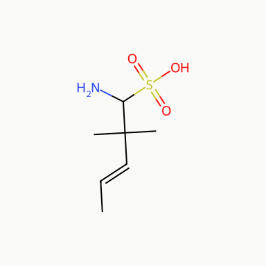 CC=CC(C)(C)C(N)S(=O)(=O)O